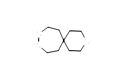 C1CC2(CCN1)CCNNCC2